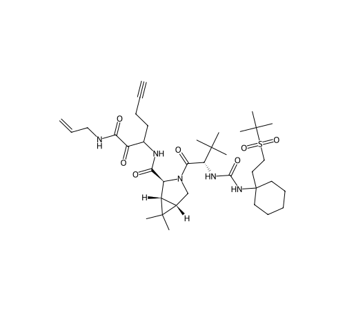 C#CCCC(NC(=O)[C@@H]1[C@@H]2[C@H](CN1C(=O)[C@@H](NC(=O)NC1(CCS(=O)(=O)C(C)(C)C)CCCCC1)C(C)(C)C)C2(C)C)C(=O)C(=O)NCC=C